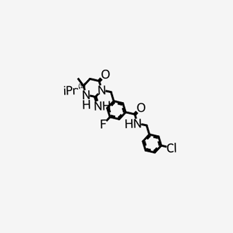 CC(C)[C@]1(C)CC(=O)N(Cc2cc(F)cc(C(=O)NCc3cccc(Cl)c3)c2)C(=N)N1